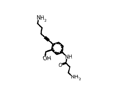 NCCCC#Cc1ccc(NC(=O)CCN)cc1CO